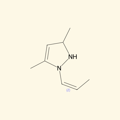 C/C=C\N1NC(C)C=C1C